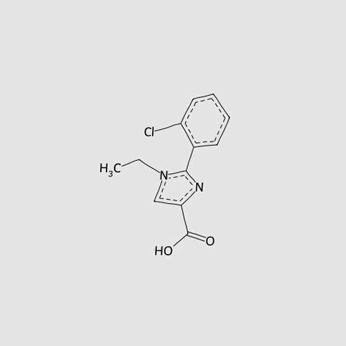 CCn1cc(C(=O)O)nc1-c1ccccc1Cl